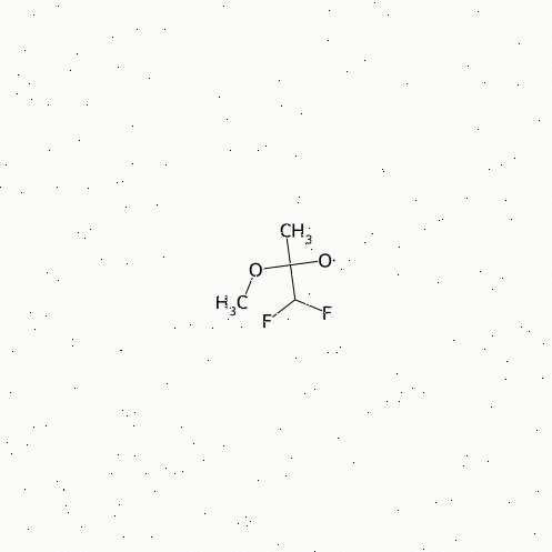 COC(C)([O])C(F)F